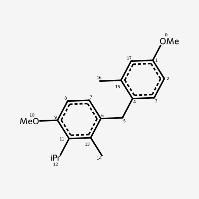 COc1ccc(Cc2ccc(OC)c(C(C)C)c2C)c(C)c1